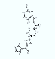 O=C(c1nccs1)N1CC(N2CCN(C(=O)c3nc4cc(Cl)ccc4s3)CC2)C1